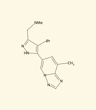 CNCc1n[nH]c(-c2cc(C)c3ncnn3c2)c1C(C)C